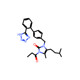 CCC(=O)n1c(C)c(CCC(C)C)n(Cc2ccc(-c3ccccc3-c3nnn[nH]3)cc2)c1=O